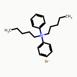 CCCCC[N+](CCCCC)(c1ccccc1)c1ccccc1.[Br-]